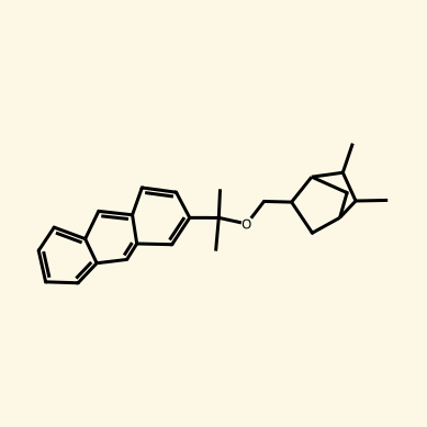 CC1C2CC(COC(C)(C)c3ccc4cc5ccccc5cc4c3)C(C2)C1C